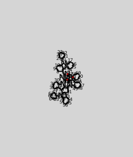 c1ccc(-c2nc(-c3cccc4c3c3ccccc3n4-c3ccccc3)nc(-n3c4ccccc4c4c3c(-n3c5ccccc5c5ccccc53)cc3c5ccccc5n(-c5ccccc5)c34)n2)cc1